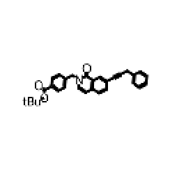 CC(C)(C)OC(=O)c1ccc(Cn2ccc3ccc(C#CCc4ccccc4)cc3c2=O)cc1